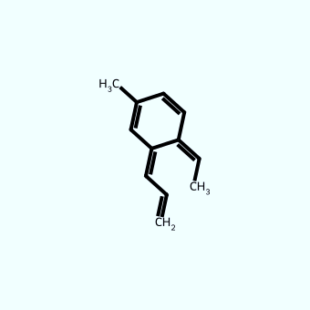 C=C/C=c1/cc(C)cc/c1=C/C